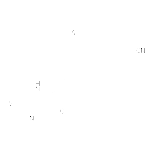 C[C@@]1(C(=O)Nc2nccs2)Cc2ccc(C#N)cc2[C@H]1c1cccs1